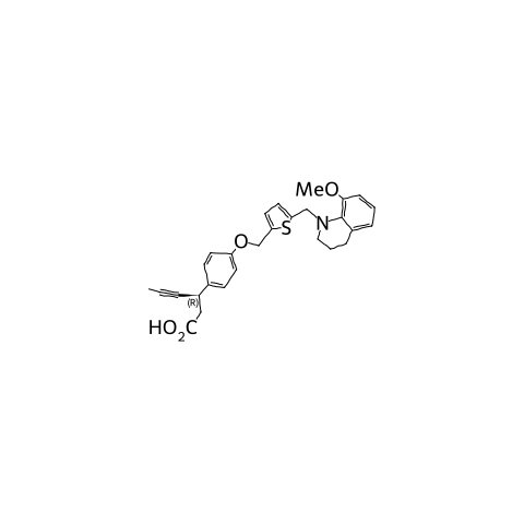 CC#C[C@H](CC(=O)O)c1ccc(OCc2ccc(CN3CCCc4cccc(OC)c43)s2)cc1